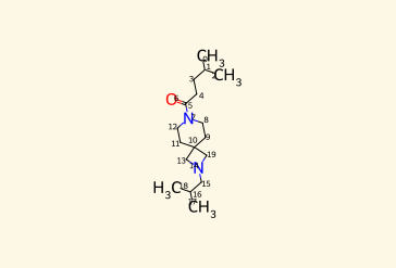 CC(C)CCC(=O)N1CCC2(CC1)CN(CC(C)C)C2